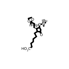 CCCCCCCC1(CC[C@H]2C(O[Si](C)(C)C(C)(C)C)CC(=O)C2CCCCCCC(=O)O)OCCO1